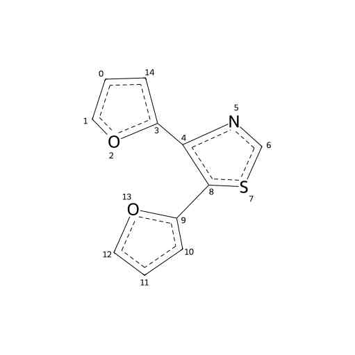 c1coc(-c2ncsc2-c2ccco2)c1